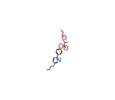 CCCCc1ccc(-c2ccc(OC(=O)C(C)COCCC)cc2)nc1